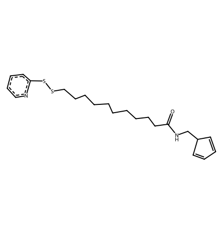 O=C(CCCCCCCCCCSSc1ccccn1)NCC1C=CC=C1